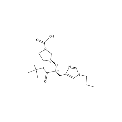 CCCn1cnc(C[C@H](O[C@H]2CCN(C(=O)O)C2)C(=O)OC(C)(C)C)c1